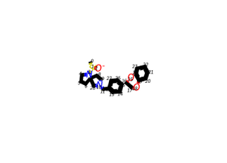 C[S+]([O-])N1CCCC12CCN(Cc1ccc([C@H]3COc4ccccc4O3)cc1)C2